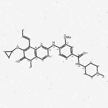 CC=Cc1c(OC2CC2)c(=O)n(C)c2cnc(Nc3ccc(C(=O)NC4CCN(C)CC4)cc3OC)nc12